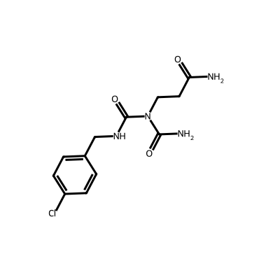 NC(=O)CCN(C(N)=O)C(=O)NCc1ccc(Cl)cc1